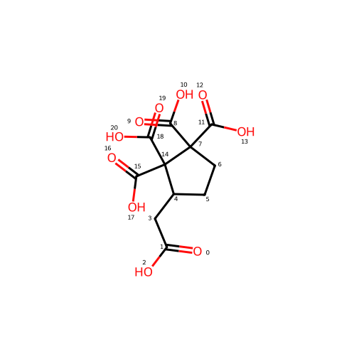 O=C(O)CC1CCC(C(=O)O)(C(=O)O)C1(C(=O)O)C(=O)O